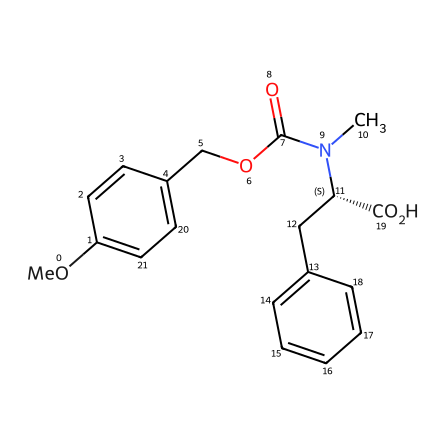 COc1ccc(COC(=O)N(C)[C@@H](Cc2ccccc2)C(=O)O)cc1